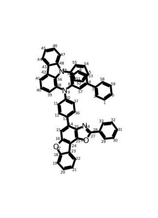 c1ccc(-c2cccc(N(c3ccc(-c4cc5oc6ccccc6c5c5oc(-c6ccccc6)nc45)cc3)c3cccc4c5ccccc5n(-c5ccccc5)c34)c2)cc1